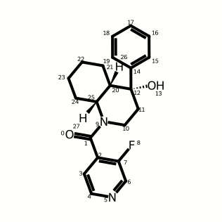 O=C(c1ccncc1F)N1CC[C@](O)(c2ccccc2)[C@H]2CCCC[C@H]21